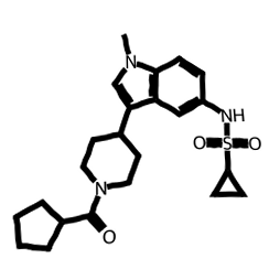 Cn1cc(C2CCN(C(=O)C3CCCC3)CC2)c2cc(NS(=O)(=O)C3CC3)ccc21